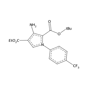 CCOC(=O)c1cn(-c2ccc(C(F)(F)F)cc2)c(C(=O)OC(C)(C)C)c1N